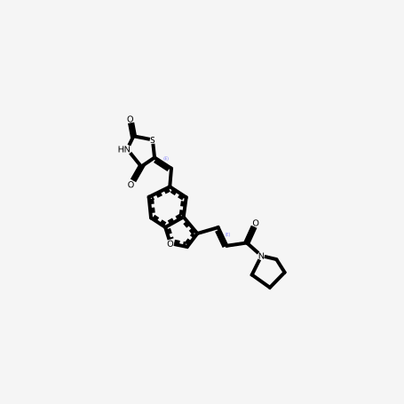 O=C1NC(=O)/C(=C\c2ccc3occ(/C=C/C(=O)N4CCCC4)c3c2)S1